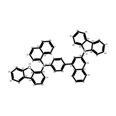 c1ccc2c(-c3ccc(N(c4cccc5ccccc45)c4cccc5c4oc4ccccc45)cc3)cc(-n3c4ccccc4c4ccccc43)cc2c1